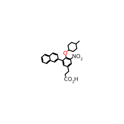 CC1CCC(Oc2c(-c3ccc4ccccc4c3)cc(CCC(=O)O)cc2[N+](=O)[O-])CC1